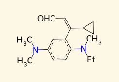 CCN(C)c1ccc(N(C)C)cc1/C(=C\C=O)C1CC1